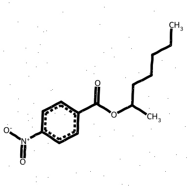 CCCCCC(C)OC(=O)c1ccc([N+](=O)[O-])cc1